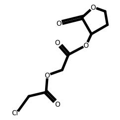 O=C(CCl)OCC(=O)OC1CCOC1=O